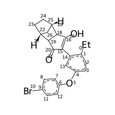 CCc1ccc(Oc2ccc(Br)cc2)cc1C1=C(O)C2C(C1=O)[C@@H]1CC[C@H]2C1